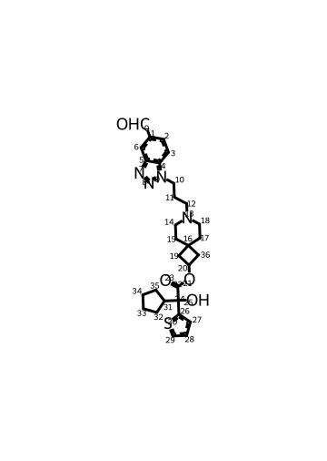 O=Cc1ccc2c(c1)nnn2CCCN1CCC2(CC1)CC(OC(=O)C(O)(c1cccs1)C1CCCC1)C2